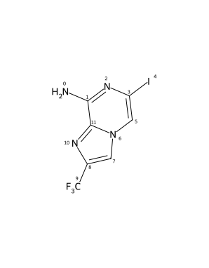 Nc1nc(I)cn2cc(C(F)(F)F)nc12